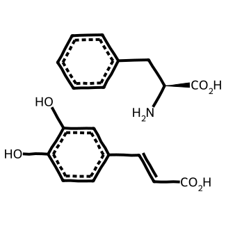 N[C@@H](Cc1ccccc1)C(=O)O.O=C(O)/C=C/c1ccc(O)c(O)c1